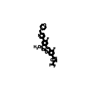 CN(C)c1cc(-c2ccc(CN3CCOCC3)nc2)c(F)cc1N(C=O)Cc1ccc(-c2nnc(C(F)F)o2)cc1F